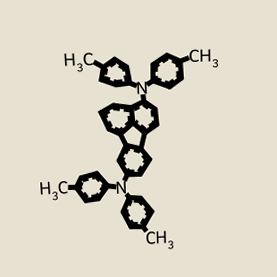 Cc1ccc(N(c2ccc(C)cc2)c2ccc3c(c2)-c2cccc4c(N(c5ccc(C)cc5)c5ccc(C)cc5)ccc-3c24)cc1